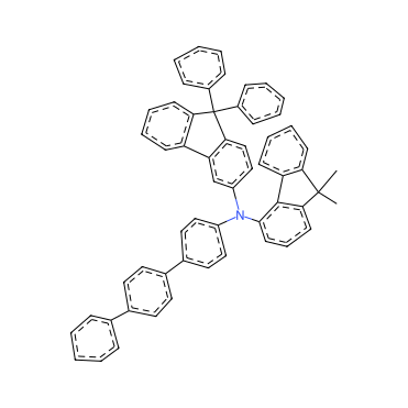 CC1(C)c2ccccc2-c2c(N(c3ccc(-c4ccc(-c5ccccc5)cc4)cc3)c3ccc4c(c3)-c3ccccc3C4(c3ccccc3)c3ccccc3)cccc21